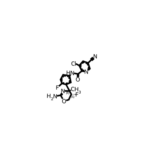 C[C@]1(c2cc(NC(=O)c3ncc(C#N)cc3Cl)ccc2F)N=C(N)OC[C@H]1F